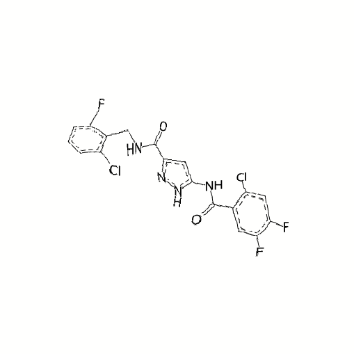 O=C(NCc1c(F)cccc1Cl)c1cc(NC(=O)c2cc(F)c(F)cc2Cl)[nH]n1